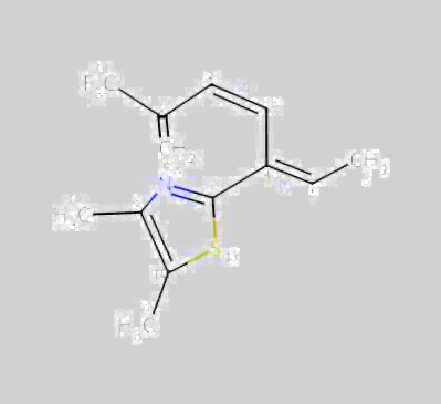 C=C(/C=C\C(=C/C)c1nc(C)c(C)s1)C(F)(F)F